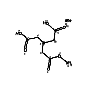 NOC(=O)CN(CC(=O)O)CC(=O)O.[Mn]